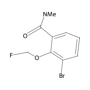 CNC(=O)c1cccc(Br)c1OCF